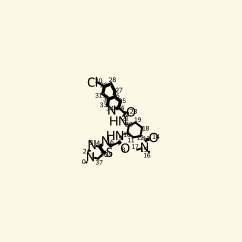 CN1C=Nc2nc(C(=O)N[C@@H]3C[C@@H](C(=O)N(C)C)CC[C@@H]3NC(=O)c3cc4ccc(Cl)cc4cn3)sc2C1